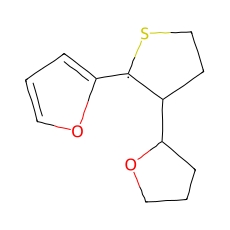 c1coc([C]2SCCC2C2CCCO2)c1